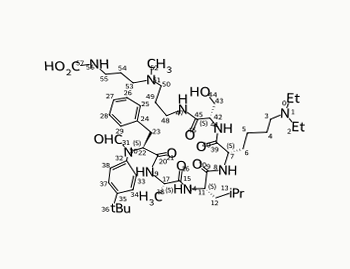 CCN(CC)CCCC[C@H](NC(=O)[C@H](CC(C)C)NC(=O)[C@H](C)NC(=O)[C@H](Cc1ccccc1)N(C=O)c1ccc(C(C)(C)C)cc1)C(=O)N[C@@H](CO)C(=O)NCCCN(C)CCCNC(=O)O